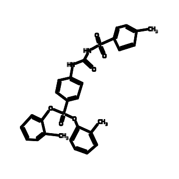 Cc1ccc(S(=O)(=O)NC(=O)Nc2ccc(P(=O)(Oc3ccccc3C)Oc3ccccc3C)cc2)cc1